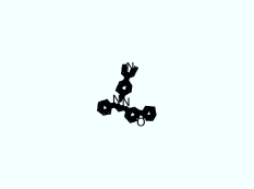 c1ccc(-c2cc(-c3ccc4oc5ccccc5c4c3)nc(-c3ccc(-c4ccncc4)cc3)n2)cc1